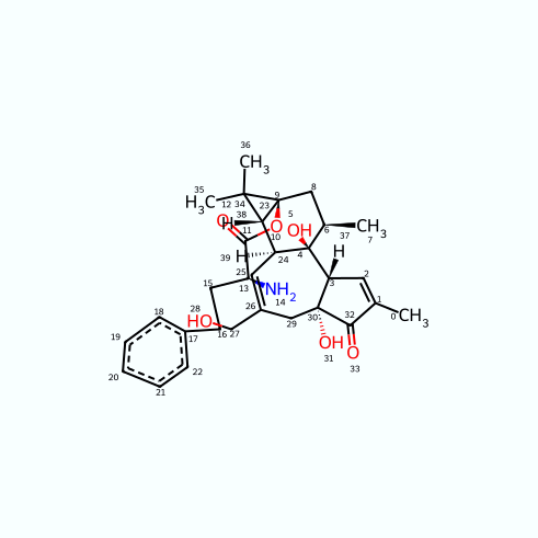 CC1=C[C@H]2[C@@]3(O)[C@H](C)C[C@]4(OC(=O)[C@@H](N)CCc5ccccc5)[C@H]([C@@H]3C=C(CO)C[C@]2(O)C1=O)C4(C)C